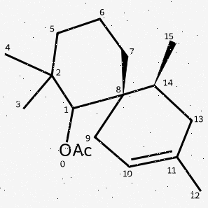 CC(=O)OC1C(C)(C)CCC[C@@]12CC=C(C)C[C@@H]2C